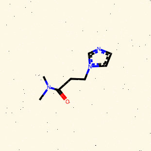 CN(C)C(=O)CCn1ccnc1